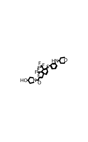 O=C(C=Cc1ccc(Sc2cccc(NC3CCOCC3)c2)c(C(F)(F)F)c1C(F)(F)F)N1CCC(O)CC1